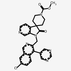 COC(=O)N1CCC2(CC1)C(=O)N(Cc1ncc3cc(Cl)ccc3c1-c1cncnc1)c1cnccc12